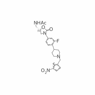 CC(=O)NC[C@H]1CN(c2ccc(C3CCN(Cc4ccc([N+](=O)[O-])s4)CC3)c(F)c2)C(=O)O1